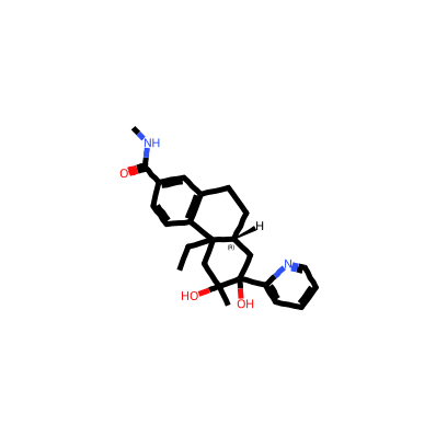 CCC12CC(C)(O)C(O)(c3ccccn3)C[C@H]1CCc1cc(C(=O)NC)ccc12